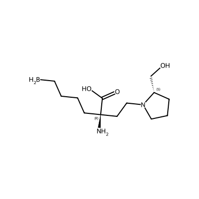 BCCCC[C@@](N)(CCN1CCC[C@H]1CO)C(=O)O